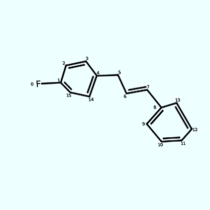 Fc1ccc(CC=Cc2ccccc2)cc1